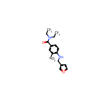 O=C(c1ccc(NCc2ccoc2)c([N+](=O)[O-])c1)N(CC(F)(F)F)CC(F)(F)F